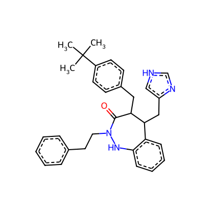 CC(C)(C)c1ccc(CC2C(=O)N(CCc3ccccc3)Nc3ccccc3C2Cc2c[nH]cn2)cc1